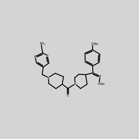 CON=C(c1ccc(OC)cc1)C1CCN(C(=O)C2CCN(Cc3cnc(N)nc3)CC2)CC1